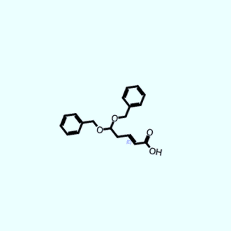 O=C(O)/C=C/CC(OCc1ccccc1)OCc1ccccc1